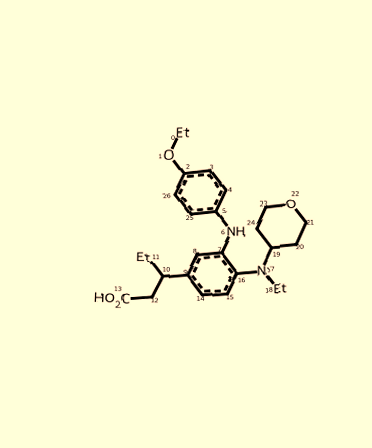 CCOc1ccc(Nc2cc(C(CC)CC(=O)O)ccc2N(CC)C2CCOCC2)cc1